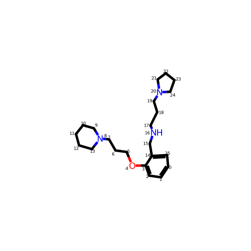 c1ccc(OCCCN2CCCCC2)c(CNCCCN2CCCC2)c1